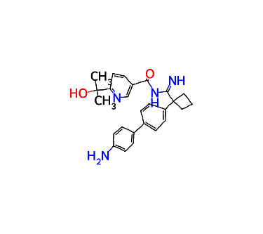 CC(C)(O)c1ccc(C(=O)NC(=N)C2(c3ccc(-c4ccc(N)cc4)cc3)CCC2)cn1